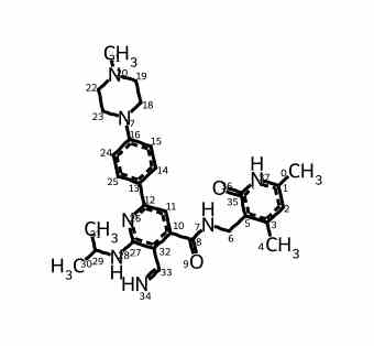 Cc1cc(C)c(CNC(=O)c2cc(-c3ccc(N4CCN(C)CC4)cc3)nc(NC(C)C)c2C=N)c(=O)[nH]1